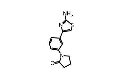 Nc1nc(-c2cccc(N3CCCC3=O)c2)cs1